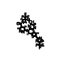 COC1(C(F)(F)F)CN(C(=O)c2cnnc(N(Cc3ccc(-c4noc(C(F)(F)F)n4)s3)c3cnccn3)c2)C1